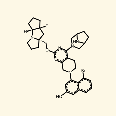 Oc1cc(N2CCc3c(nc(OC[C@]45CCCN4[C@@H]4CCC[C@]4(F)C5)nc3N3CC4CCC(C3)N4)C2)c2c(Br)cccc2c1